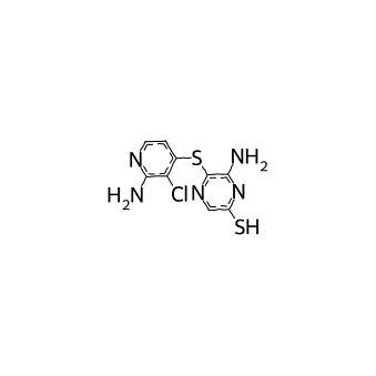 Nc1nc(S)cnc1Sc1ccnc(N)c1Cl